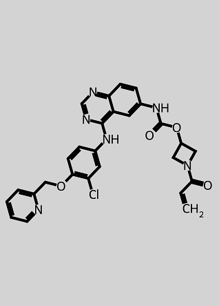 C=CC(=O)N1CC(OC(=O)Nc2ccc3ncnc(Nc4ccc(OCc5ccccn5)c(Cl)c4)c3c2)C1